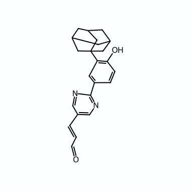 O=C/C=C/c1cnc(-c2ccc(O)c(C34CC5CC(CC(C5)C3)C4)c2)nc1